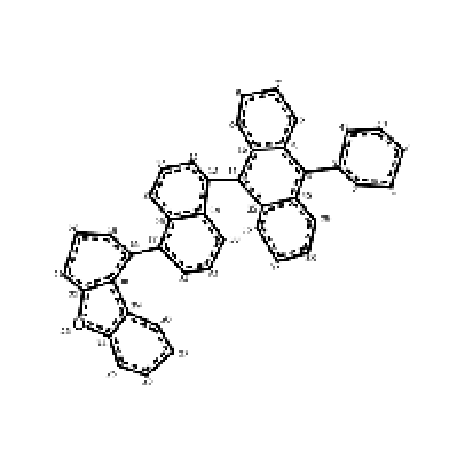 c1ccc(-c2c3ccccc3c(-c3cccc4c(-c5cccc6oc7ccccc7c56)cccc34)c3ccccc23)cc1